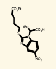 CCOC(=O)CCCCSc1nc2cc([N+](=O)[O-])ccc2n1C(C(=O)O)C(C)(C)C